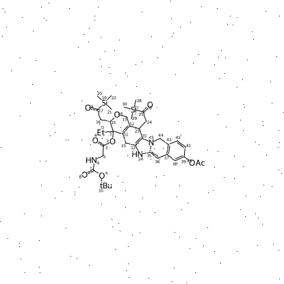 CCC1(OC(=O)CNC(=O)OC(C)(C)C)C2=C(COC1CC(=O)[Si](C)(C)C)C(CC(=O)[Si](C)(C)C)C1=C(C2)NC2=Cc3cc(OC(C)=O)ccc3CN21